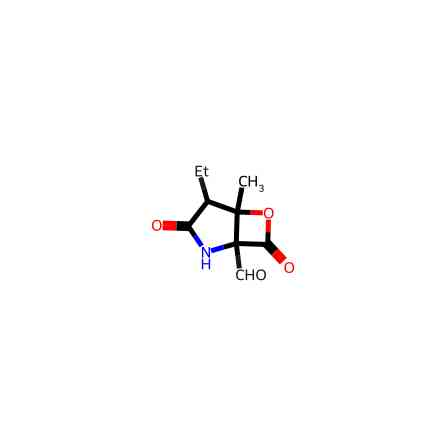 CCC1C(=O)NC2(C=O)C(=O)OC12C